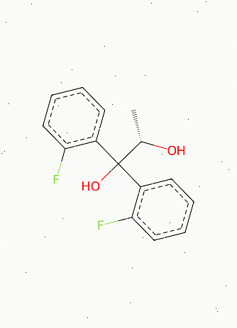 C[C@H](O)C(O)(c1ccccc1F)c1ccccc1F